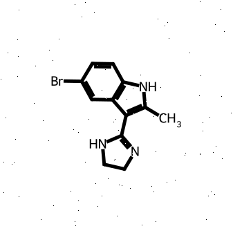 Cc1[nH]c2ccc(Br)cc2c1C1=NCCN1